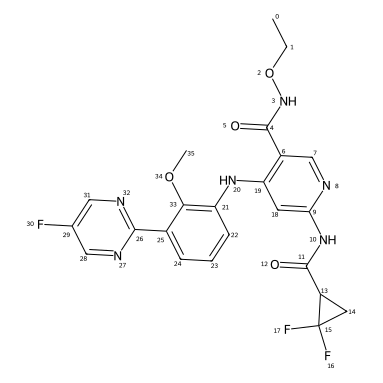 CCONC(=O)c1cnc(NC(=O)C2CC2(F)F)cc1Nc1cccc(-c2ncc(F)cn2)c1OC